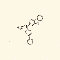 CCN(c1ccc(-c2ccccc2)cc1)c1ccc2c(c1)oc1ccccc12